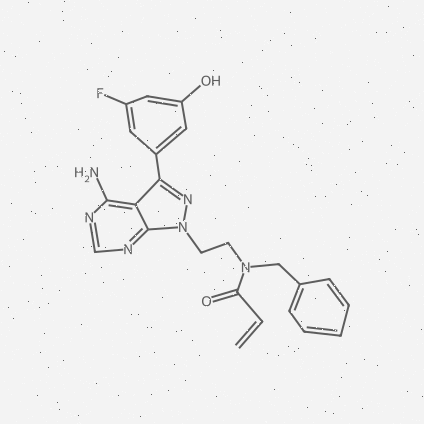 C=CC(=O)N(CCn1nc(-c2cc(O)cc(F)c2)c2c(N)ncnc21)Cc1ccccc1